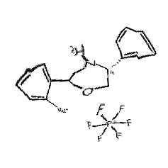 F[P-](F)(F)(F)(F)F.[2H]N1C(c2cccc[c]2[Ru+])OC[C@H]1c1ccccc1